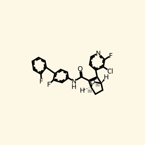 O=C(Nc1ccc(-c2ccccc2F)c(F)c1)C1=C(c2ccnc(F)c2Cl)[C@@H]2CC[C@@H]1O2